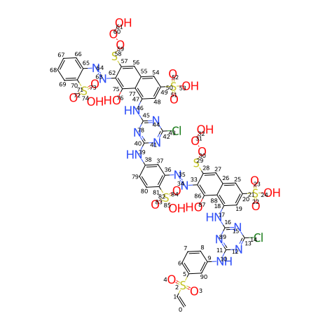 C=CS(=O)(=O)c1cccc(Nc2nc(Cl)nc(Nc3cc(S(=O)(=O)O)cc4cc(SOOO)c(/N=N/c5cc(Nc6nc(Cl)nc(Nc7cc(S(=O)(=O)O)cc8cc(SOOO)c(/N=N/c9ccccc9S(=O)(=O)O)c(O)c78)n6)ccc5S(=O)(=O)O)c(O)c34)n2)c1